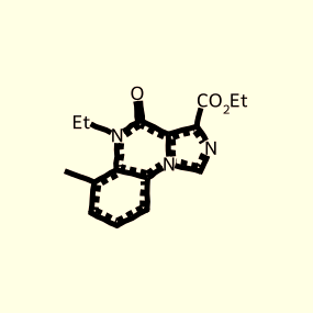 CCOC(=O)c1ncn2c1c(=O)n(CC)c1c(C)cccc12